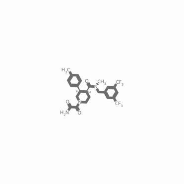 Cc1ccc([C@@H]2CN(C(=O)C(N)=O)CC[C@@H]2C(=O)N(C)Cc2cc(C(F)(F)F)cc(C(F)(F)F)c2)cc1